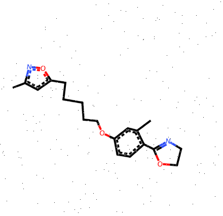 Cc1cc(CCCCCOc2ccc(C3=NCCO3)c(C)c2)on1